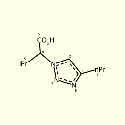 CCCc1cn(C(C(=O)O)C(C)C)nn1